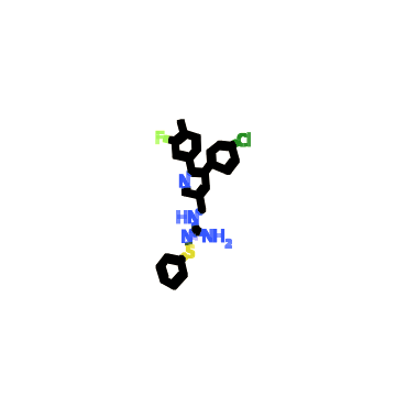 Cc1ccc(-c2ncc(CN/C(N)=N/Sc3ccccc3)cc2-c2ccc(Cl)cc2)cc1F